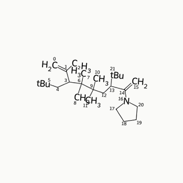 C=C(C)C(CC(C)(C)C)C(C)(C)C(C)(C)CC(C(=C)N1CCCC1)C(C)(C)C